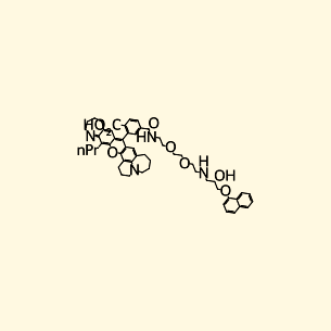 CCCc1c2c(cc3c1=NCCCC3)=C(c1cc(C(=O)NCCOCCOCCNCC(O)COc3cccc4ccccc34)ccc1C(=O)O)c1cc3c4c(c1O2)CCCN4CCCC3